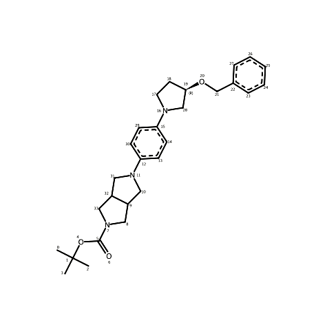 CC(C)(C)OC(=O)N1CC2CN(c3ccc(N4CC[C@@H](OCc5ccccc5)C4)cc3)CC2C1